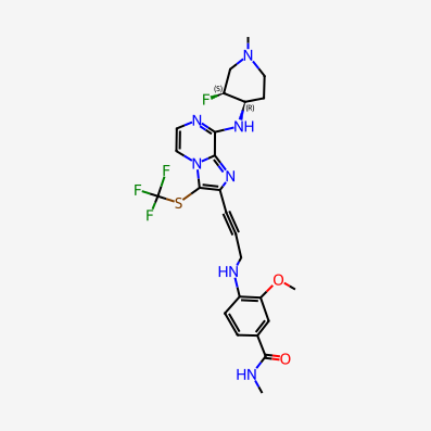 CNC(=O)c1ccc(NCC#Cc2nc3c(N[C@@H]4CCN(C)C[C@@H]4F)nccn3c2SC(F)(F)F)c(OC)c1